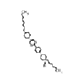 CCCCCCCC[C@H]1CC[C@H](c2cnc(-c3ccc([C@H]4CC[C@@](C#N)(CCCCCC)CC4)cc3)nc2)CC1